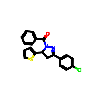 O=C(c1ccccc1)N1N=C(c2ccc(Cl)cc2)CC1c1cccs1